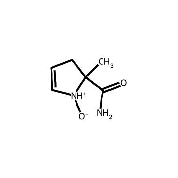 CC1(C(N)=O)CC=C[NH+]1[O-]